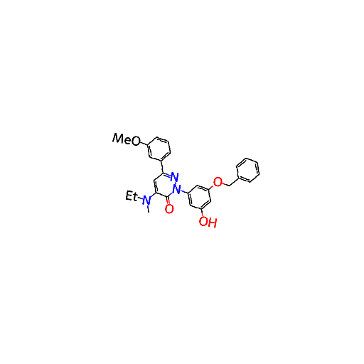 CCN(C)c1cc(-c2cccc(OC)c2)nn(-c2cc(O)cc(OCc3ccccc3)c2)c1=O